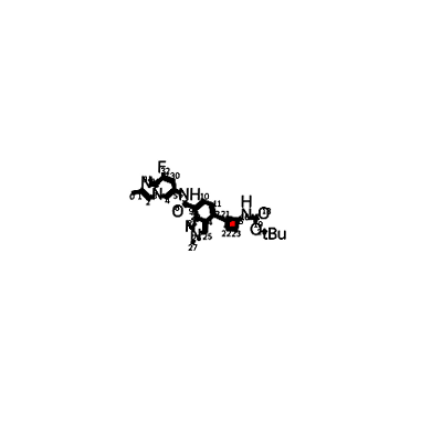 Cc1cn2cc(NC(=O)c3ccc(N4CC5(NC(=O)OC(C)(C)C)CC4C5)c4cn(C)nc34)cc(F)c2n1